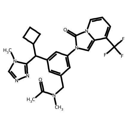 CC(=O)N(C)Cc1cc(C(c2nncn2C)C2CCC2)cc(-n2cc3c(C(F)(F)F)cccn3c2=O)c1